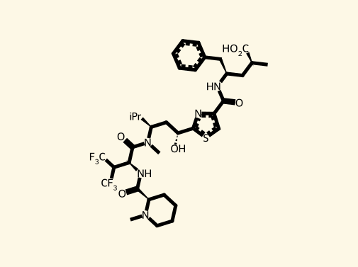 CC(C)[C@@H](C[C@@H](O)c1nc(C(=O)N[C@@H](Cc2ccccc2)C[C@H](C)C(=O)O)cs1)N(C)C(=O)[C@@H](NC(=O)[C@H]1CCCCN1C)C(C(F)(F)F)C(F)(F)F